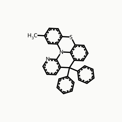 Cc1ccc2c(c1)N1c3ncccc3C(c3ccccc3)(c3ccccc3)c3cccc(c31)S2